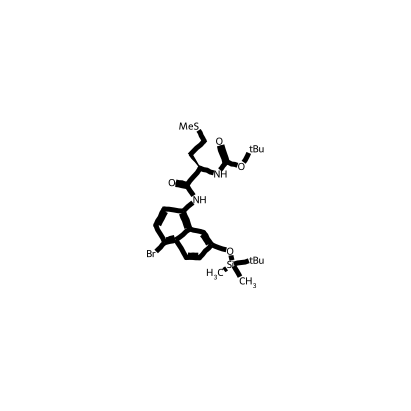 CSCC[C@@H](NC(=O)OC(C)(C)C)C(=O)Nc1ccc(Br)c2ccc(O[Si](C)(C)C(C)(C)C)cc12